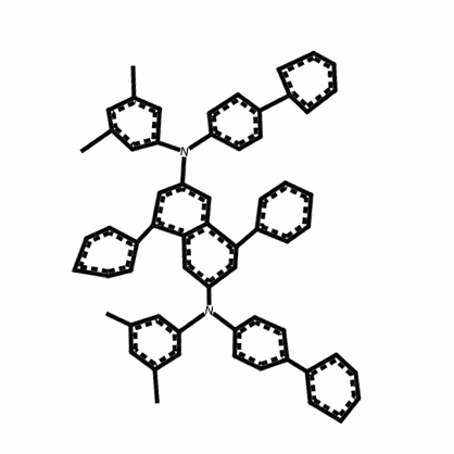 Cc1cc(C)cc(N(c2ccc(-c3ccccc3)cc2)c2cc(-c3ccccc3)c3cc(N(c4ccc(-c5ccccc5)cc4)c4cc(C)cc(C)c4)cc(-c4ccccc4)c3c2)c1